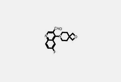 O=Cc1cnc2ccc(F)cc2c1N1CCC2(CC1)COC2